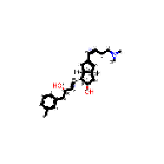 Cc1cccc(C[C@@H](O)/C=C/[C@@H]2[C@H]3CC(/C=C\CCN(C)C)=C[C@H]3C[C@H]2O)c1